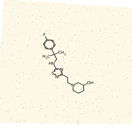 CC(C)(CNc1nc(CCN2CCCC(O)C2)ns1)c1ccc(F)cc1